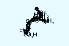 CCn1cc(C(=O)O)c(=O)c2cc(F)c(N3CCN(C(=O)OCc4ccc(NC(=O)[C@H](CCCNC(N)=O)NC(=O)[C@H](CC(F)(F)F)NC(=O)OCc5ccccc5)cc4)CC3)cc21